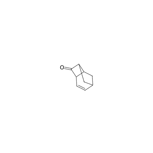 O=C1C2C=CC3CC1C2C3